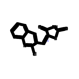 O=C1NC(=O)/C(=C\c2cc3ccccc3nc2Cl)S1